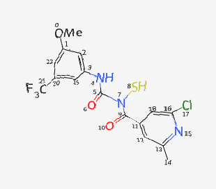 COc1cc(NC(=O)N(S)C(=O)c2cc(C)nc(Cl)c2)cc(C(F)(F)F)c1